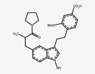 CCCn1cc(CCc2ccc(C(=O)O)cc2OC)c2cc(CC(C)C(=O)N3CCCC3)ccc21